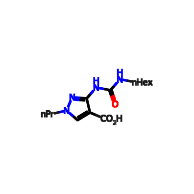 CCCCCCNC(=O)Nc1nn(CCC)cc1C(=O)O